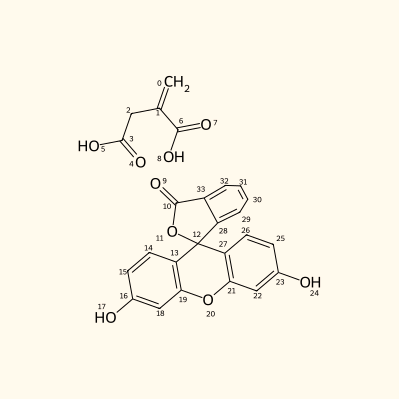 C=C(CC(=O)O)C(=O)O.O=C1OC2(c3ccc(O)cc3Oc3cc(O)ccc32)c2ccccc21